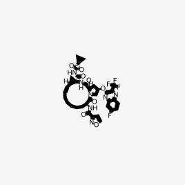 O=C(N[C@H]1CCCCC/C=C\[C@@H]2C[C@@]2(C(=O)NS(=O)(=O)C2CC2)NC(=O)[C@@H]2C[C@@H](Oc3nc4cc(F)ccc4nc3C(F)(F)F)CN2C1=O)c1ccon1